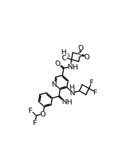 CC1(NC(=O)c2cnc(C(=N)c3cccc(OC(F)F)c3)c(NC3CC(F)(F)C3)c2)CS(=O)(=O)C1